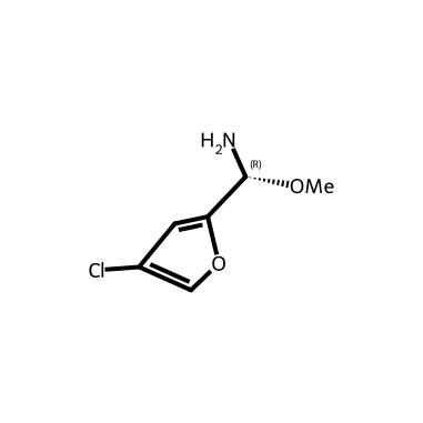 CO[C@@H](N)c1cc(Cl)co1